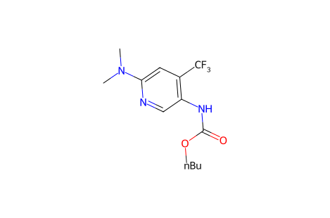 CCCCOC(=O)Nc1cnc(N(C)C)cc1C(F)(F)F